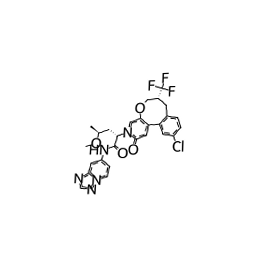 CO[C@@H](C)C[C@@H](C(=O)Nc1ccn2ncnc2c1)n1cc2c(cc1=O)-c1cc(Cl)ccc1C[C@@H](C(F)(F)F)CO2